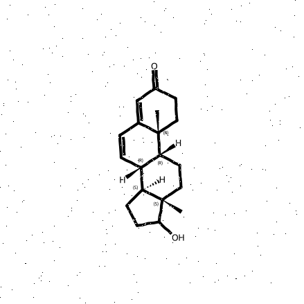 C[C@]12CCC(=O)C=C1C=C[C@@H]1[C@H]2CC[C@]2(C)C(O)CC[C@@H]12